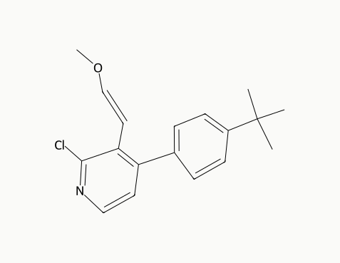 COC=Cc1c(-c2ccc(C(C)(C)C)cc2)ccnc1Cl